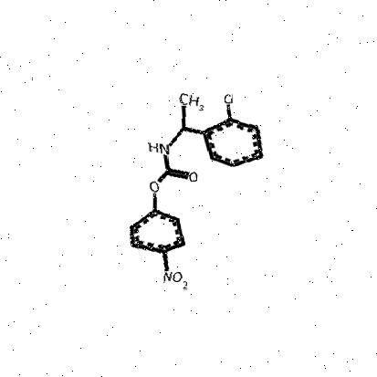 CC(NC(=O)Oc1ccc([N+](=O)[O-])cc1)c1ccccc1Cl